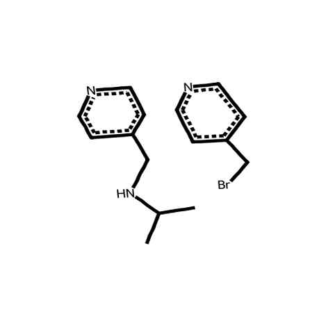 BrCc1ccncc1.CC(C)NCc1ccncc1